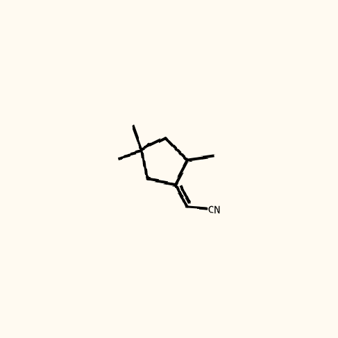 CC1CC(C)(C)C/C1=C/C#N